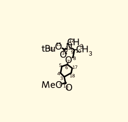 COC(=O)C1CCC(OC[C@H](C)N(C)C(=O)OC(C)(C)C)CC1